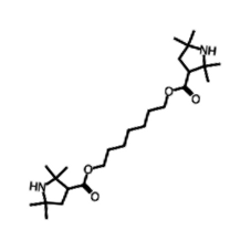 CC1(C)CC(C(=O)OCCCCCCCOC(=O)C2CC(C)(C)NC2(C)C)C(C)(C)N1